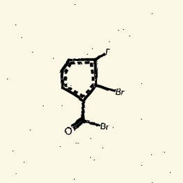 O=C(Br)c1cccc(F)c1Br